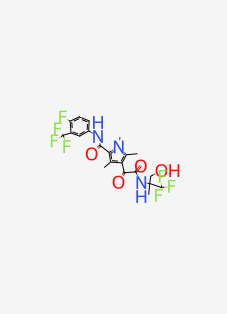 Cc1c(C(=O)C(=O)NC(C)(CO)C(F)(F)F)c(C)n(C)c1C(=O)Nc1ccc(F)c(C(F)(F)F)c1